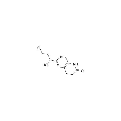 O=C1CCc2cc(C(O)CCCl)ccc2N1